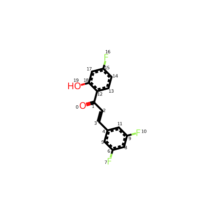 O=C(/C=C/c1cc(F)cc(F)c1)c1ccc(F)cc1O